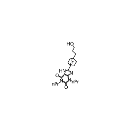 CCCn1c(=O)c2[nH]c(C34CCC(CCCO)(CC3)CC4)nc2n(CCC)c1=O